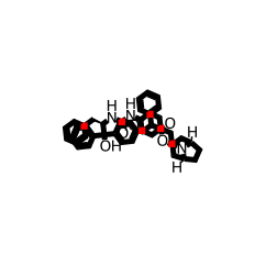 O=C(NC1CCC(CCN2[C@@H]3CC[C@H]2CC(OC(=O)C(CO)c2ccccc2)C3)CC1)N[C@H](Cc1ccccc1)C(O)(c1ccccc1)c1ccccc1